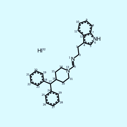 C(=NCCc1c[nH]c2ccccc12)N1CCC(C(c2ccccc2)c2ccccc2)CC1.I